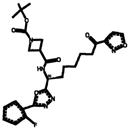 CC(C)(C)OC(=O)N1CC(C(=O)N[C@@H](CCCCCC(=O)c2ccon2)c2nnc(-c3ccccc3F)o2)C1